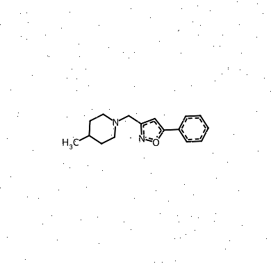 CC1CCN(Cc2cc(-c3ccccc3)on2)CC1